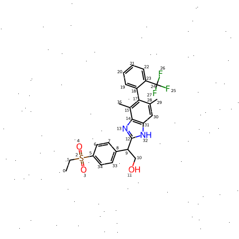 CCS(=O)(=O)c1ccc(C(CO)c2nc3c(C)c(-c4ccccc4C(F)(F)F)c(C)cc3[nH]2)cc1